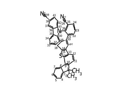 CC1(C)c2ccccc2-c2c1ccc1c3c(sc21)CCC(c1cccc(C#N)c1-n1c2ccccc2c2cc(C#N)ccc21)=C3